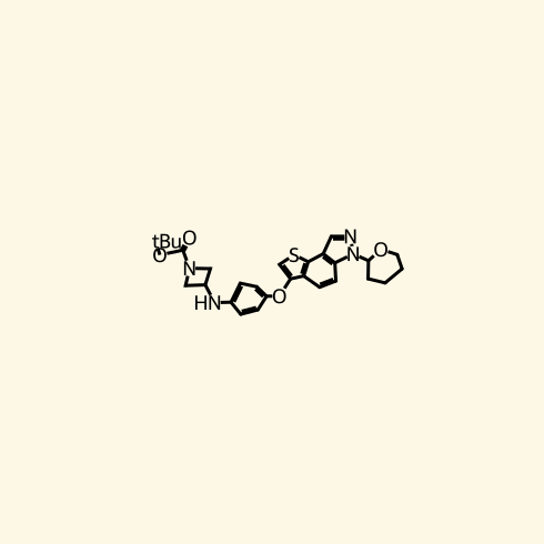 CC(C)(C)OC(=O)N1CC(Nc2ccc(Oc3csc4c3ccc3c4cnn3C3CCCCO3)cc2)C1